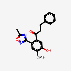 COc1cc(-c2noc(C)n2)c(C(=O)CCc2ccccc2)cc1O